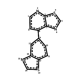 [c]1cnc2scnc2c1-c1ccc2scnc2c1